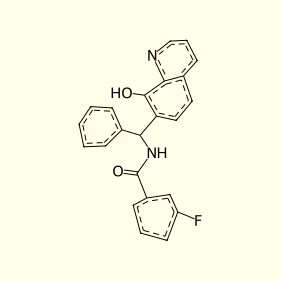 O=C(NC(c1ccccc1)c1ccc2cccnc2c1O)c1cccc(F)c1